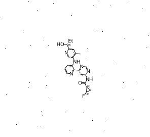 CC[C@@H](O)c1cc(C)c(Nc2cccnc2-c2cc(NC(=O)[C@H]3C[C@H]3F)ncn2)cn1